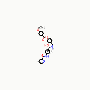 CCCCCCCCOc1ccc(C(=O)Oc2ccc(CN(CC(=O)O)C(O)c3ccc(NC(=O)c4cc(C)ccn4)cc3)cc2)cc1